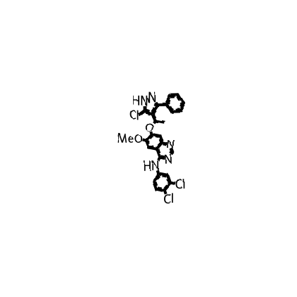 COc1cc2c(Nc3ccc(Cl)c(Cl)c3)ncnc2cc1OC(C)c1c(-c2ccccc2)n[nH]c1Cl